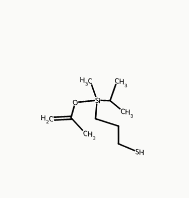 C=C(C)O[Si](C)(CCCS)C(C)C